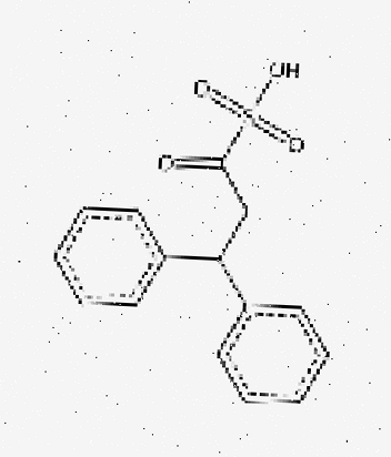 O=C(CC(c1ccccc1)c1ccccc1)S(=O)(=O)O